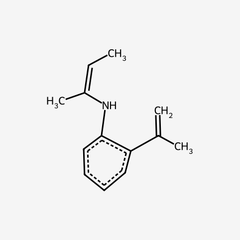 C=C(C)c1ccccc1N/C(C)=C\C